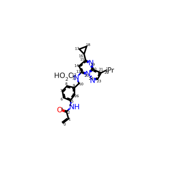 C=CC(=O)Nc1cccc(CN(C(=O)O)c2cc(C3CC3)nc3c(C(C)C)cnn23)c1